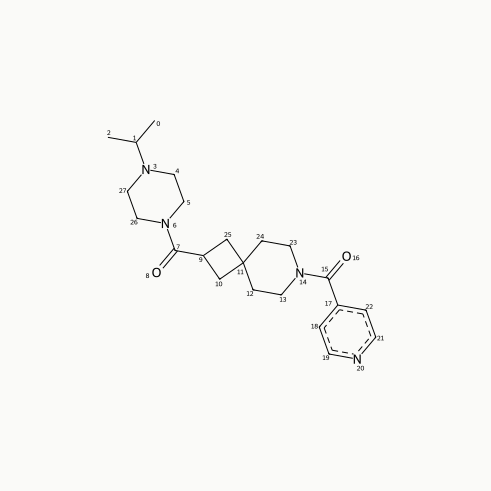 CC(C)N1CCN(C(=O)C2CC3(CCN(C(=O)c4ccncc4)CC3)C2)CC1